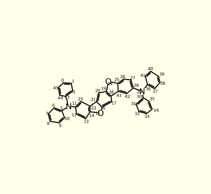 c1ccc(N(c2ccccc2)c2ccc3oc4cc5c(cc4c3c2)oc2ccc(N(c3ccccc3)c3ccccc3)cc25)cc1